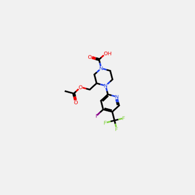 CC(=O)OCC1CN(C(=O)O)CCN1c1cc(I)c(C(F)(F)F)cn1